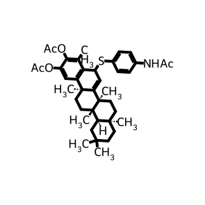 CC(=O)Nc1ccc(SC2C=C3[C@@](C)(CC[C@@]4(C)[C@@H]5CC(C)(C)CC[C@]5(C)CC[C@]34C)c3cc(OC(C)=O)c(OC(C)=O)c(C)c32)cc1